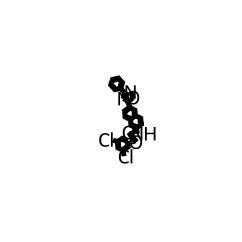 O=S(=O)(Nc1ccc2cc(-c3nc(-c4ccccc4)no3)ccc2c1)c1cc(Cl)cc(Cl)c1